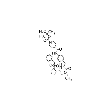 CCOC(=O)[C@H](Cc1ccc(NC(=O)C2CCN(C(=O)OC(C)(C)C)CC2)cc1)NC(=O)[C@@H]1CCCN1S(=O)(=O)Cc1ccccc1